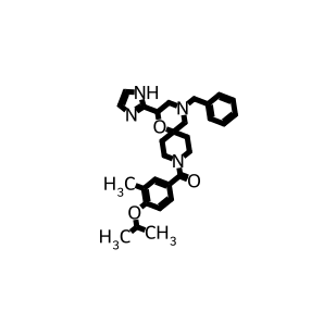 Cc1cc(C(=O)N2CCC3(CC2)CN(Cc2ccccc2)CC(c2ncc[nH]2)O3)ccc1OC(C)C